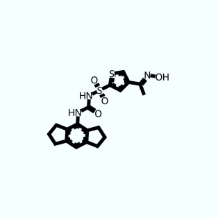 CC(=NO)c1csc(S(=O)(=O)NC(=O)Nc2c3c(cc4c2CCC4)CCC3)c1